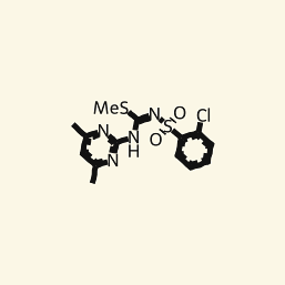 CSC(=NS(=O)(=O)c1ccccc1Cl)Nc1nc(C)cc(C)n1